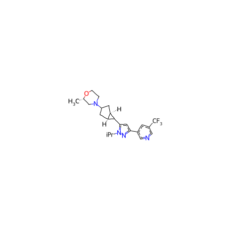 CC(C)n1nc(-c2cncc(C(F)(F)F)c2)cc1C1[C@H]2CC(N3CCO[C@@H](C)C3)C[C@@H]12